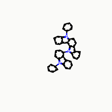 c1ccc(-n2c3ccccc3c3c(-n4c5ccccc5c5ccc6c(c7ccccc7n6-c6ccccc6)c54)cccc32)cc1